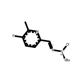 Cc1nc(/C=N/[S@@+]([O-])C(C)(C)C)ccc1F